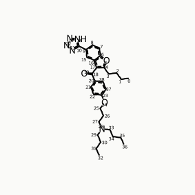 CCCCc1oc2ccc(-c3nnn[nH]3)cc2c1C(=O)c1ccc(OCCCN(CCCC)CCCC)cc1